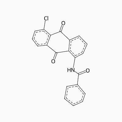 O=C(Nc1cccc2c1C(=O)c1cccc(Cl)c1C2=O)c1ccccc1